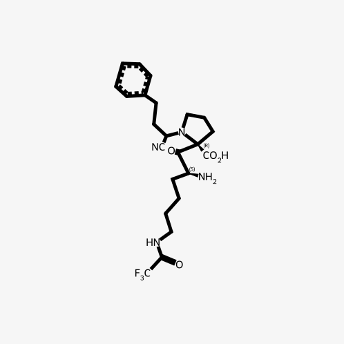 N#CC(CCc1ccccc1)N1CCC[C@]1(C(=O)O)C(=O)[C@@H](N)CCCCNC(=O)C(F)(F)F